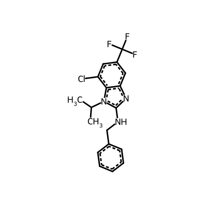 CC(C)n1c(NCc2ccccc2)nc2cc(C(F)(F)F)cc(Cl)c21